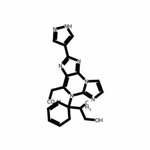 CC(CO)C1(n2c(CC(=O)O)c3nc(-c4cn[nH]c4)nc-3n3ccnc23)C=CC=CC1